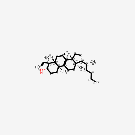 C=C[C@]1(C)[C@@H](O)CC[C@]2(C)C3=C(CC[C@@H]12)[C@]1(C)CC[C@H]([C@H](C)CCCC(C)C)[C@@]1(C)CC3